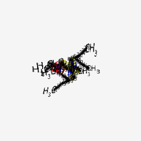 CCCCCCCCCCCCC(CCCCCCCCCC)Cc1ccc(-c2nc3c(-c4ccc(-c5sc(C)c6c5C(=O)N(CCCOCC(CC)CCCC)C6=O)s4)c4sc(-c5ccc(CC(CCCCCCCCCC)CCCCCCCCCCCC)s5)nc4c(-c4ccc(C)s4)c3s2)s1